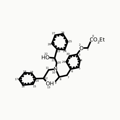 CCOC(=O)COc1ccc(CC(C)N(CC(O)c2ccccc2)CC(O)c2ccccc2)cc1